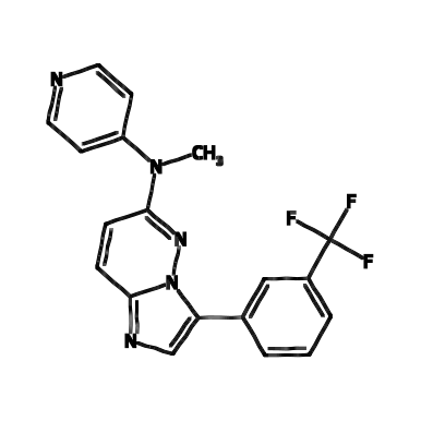 CN(c1ccncc1)c1ccc2ncc(-c3cccc(C(F)(F)F)c3)n2n1